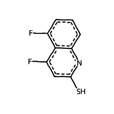 Fc1cccc2nc(S)cc(F)c12